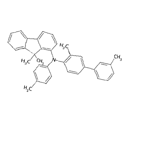 Cc1ccc(N(c2ccc(-c3cccc(C)c3)cc2C)c2cccc3c2C(C)(C)c2ccccc2-3)cc1